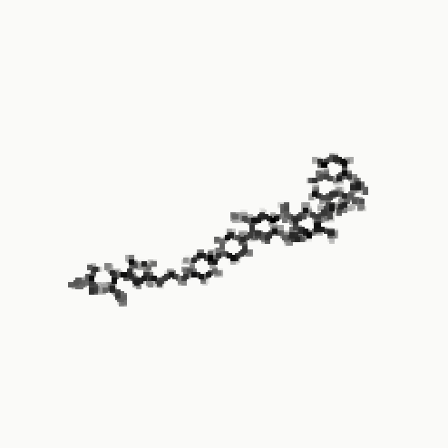 CCc1cc(Nc2ncc(Br)c(Nc3ccc4nccnc4c3P(C)(C)=O)n2)c(OC)cc1N1CCC(N2CCN(CCCn3cc(C4CCC(=O)NC4=O)nn3)CC2)CC1